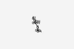 CCOc1ccc2c(c1)C(=O)N(CCCCN1CCC(n3c(=O)oc4cc(C)ccc43)CC1)S2(O)O